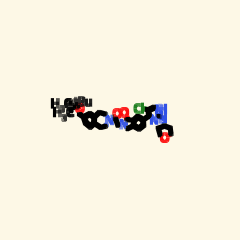 CC(C)(C)[Si](C)(C)OCc1ccc2c(c1)CCN(C(=O)CN1Cc3ccc(-c4nc(NC5CCOCC5)ncc4Cl)cc3C1=O)CC2